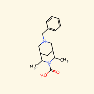 CC1C2CC(CN(Cc3ccccc3)C2)C(C)N1C(=O)O